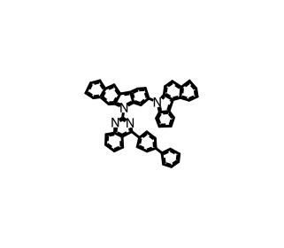 c1ccc(-c2ccc(-c3nc(-n4c5cc(-n6c7ccccc7c7c8ccccc8ccc76)ccc5c5cc6ccccc6cc54)nc4ccccc34)cc2)cc1